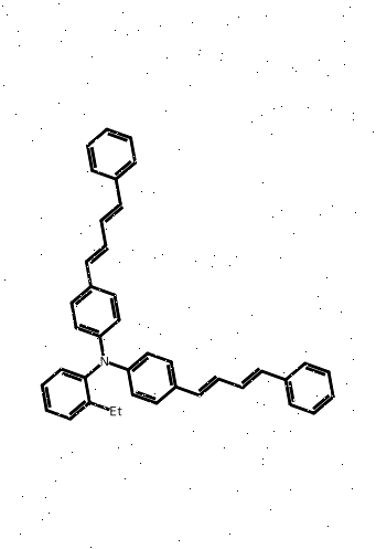 CCc1ccccc1N(c1ccc(/C=C/C=C/c2ccccc2)cc1)c1ccc(/C=C/C=C/c2ccccc2)cc1